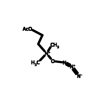 CC(=O)OCC[N+](C)(C)ON=[N+]=[N-]